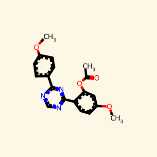 COc1ccc(-c2ncnc(-c3ccc(OC)cc3OC(C)=O)n2)cc1